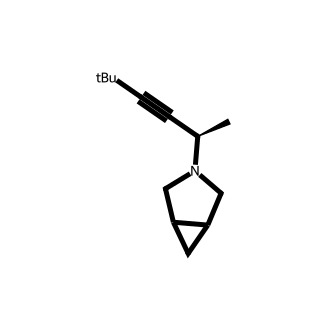 C[C@H](C#CC(C)(C)C)N1CC2CC2C1